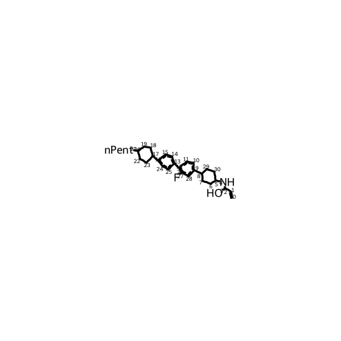 C=CC(O)NC1CCC(c2ccc(-c3ccc(C4CCC(CCCCC)CC4)cc3)c(F)c2)CC1